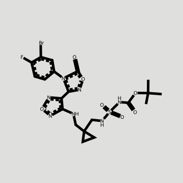 CC(C)(C)OC(=O)NS(=O)(=O)NCC1(CNc2nonc2-c2noc(=O)n2-c2ccc(F)c(Br)c2)CC1